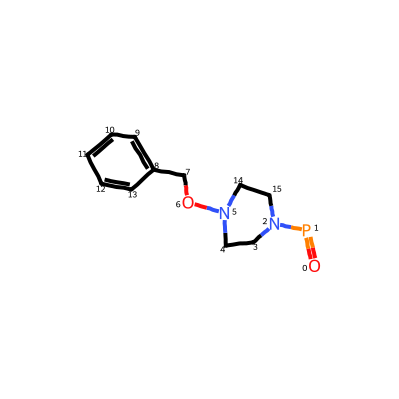 O=PN1CCN(OCc2ccccc2)CC1